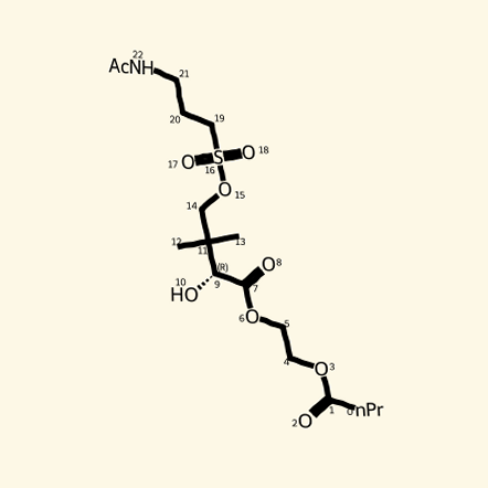 CCCC(=O)OCCOC(=O)[C@H](O)C(C)(C)COS(=O)(=O)CCCNC(C)=O